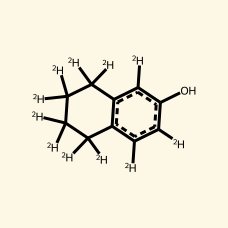 [2H]c1c([2H])c2c(c([2H])c1O)C([2H])([2H])C([2H])([2H])C([2H])([2H])C2([2H])[2H]